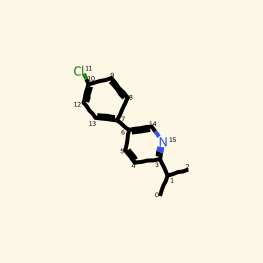 CC(C)c1ccc(-c2ccc(Cl)cc2)cn1